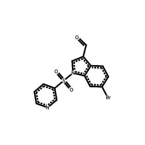 O=Cc1cn(S(=O)(=O)c2cccnc2)c2cc(Br)ccc12